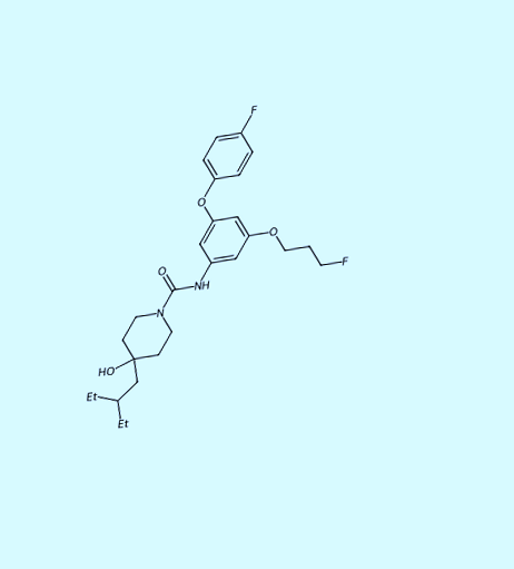 CCC(CC)CC1(O)CCN(C(=O)Nc2cc(OCCCF)cc(Oc3ccc(F)cc3)c2)CC1